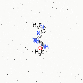 CCC(=O)N[C@H]1CC[C@@H](n2nncc2-c2ccc(-c3ccc4ccn(C)c4c3)nc2)C1